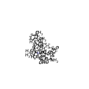 C/C(=C\C(C(C)C)N(C)C(=O)C(NC(=O)[C@@H](NC(=O)CCCCCN1C(=O)CC(SC[C@H](N)C(=O)O)C1=O)C(C)(C)c1cn(C)c2ccccc12)C(C)(C)C)C(=O)N[C@H](CCC(=O)O)C(=O)O